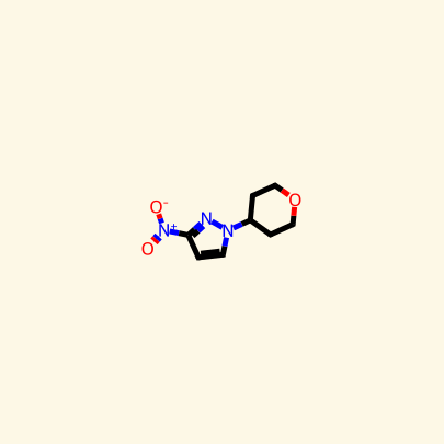 O=[N+]([O-])c1ccn(C2CCOCC2)n1